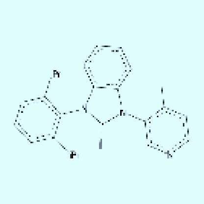 Cc1ccncc1N1c2ccccc2N(c2c(C(C)C)cccc2C(C)C)[C@H]1C